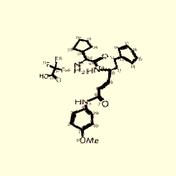 COc1ccc(NC(=O)C=C[C@H](CCc2ccccc2)NC(=O)[C@@H](N)C2CCCC2)cc1.O=C(O)C(F)(F)F